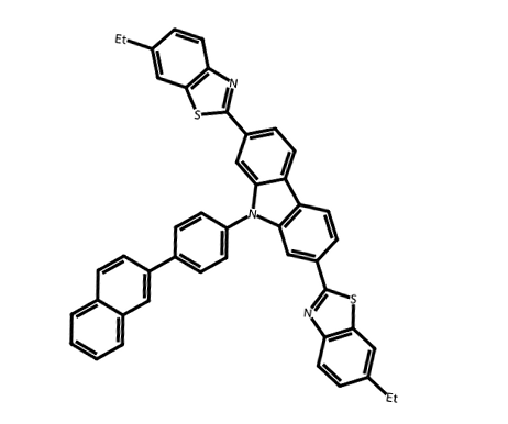 CCc1ccc2nc(-c3ccc4c5ccc(-c6nc7ccc(CC)cc7s6)cc5n(-c5ccc(-c6ccc7ccccc7c6)cc5)c4c3)sc2c1